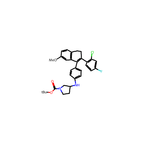 COc1ccc2c(c1)C(c1ccc(NC3CCN(C(=O)OC(C)(C)C)C3)cc1)=C(c1ccc(F)cc1Cl)CC2